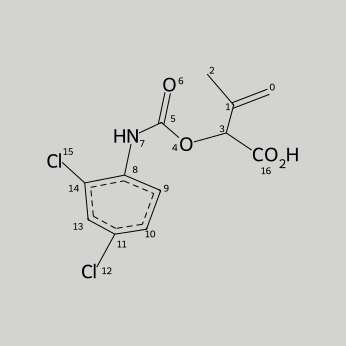 C=C(C)C(OC(=O)Nc1ccc(Cl)cc1Cl)C(=O)O